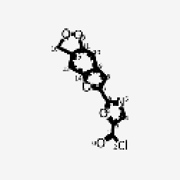 O=C(Cl)c1cnc(-c2cc3cc4c(cc3o2)COO4)o1